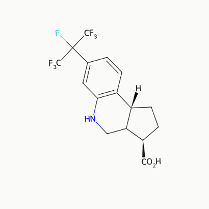 O=C(O)[C@@H]1CC[C@H]2c3ccc(C(F)(C(F)(F)F)C(F)(F)F)cc3NCC12